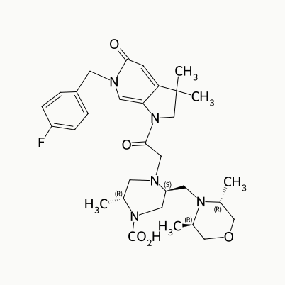 C[C@@H]1CN(CC(=O)N2CC(C)(C)c3cc(=O)n(Cc4ccc(F)cc4)cc32)[C@@H](CN2[C@H](C)COC[C@H]2C)CN1C(=O)O